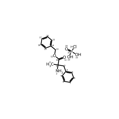 CC(N)(Cc1ccccc1)C(=O)OCc1ccccc1.O=P(O)(O)Cl